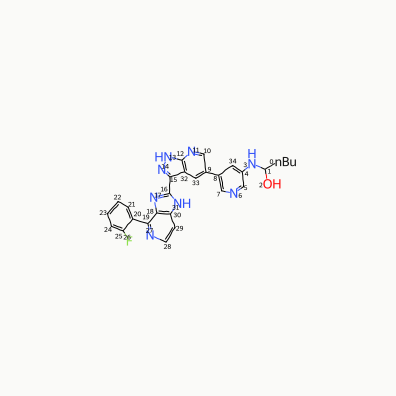 CCCCC(O)Nc1cncc(-c2cnc3[nH]nc(-c4nc5c(-c6ccccc6F)nccc5[nH]4)c3c2)c1